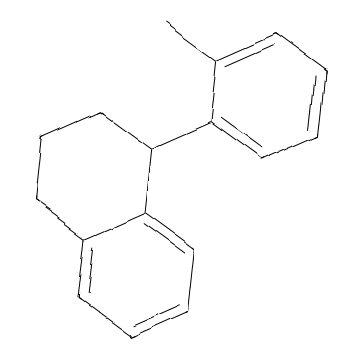 Cc1ccccc1C1CCCc2ccccc21